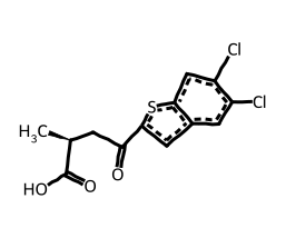 C[C@@H](CC(=O)c1cc2cc(Cl)c(Cl)cc2s1)C(=O)O